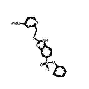 COc1ccnc(CSc2nc3cc(S(=O)(=O)Oc4ccccc4)ccc3[nH]2)c1